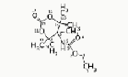 CCOC(=O)NC1(C)C(C)(C)OC(=O)OC1(C)C